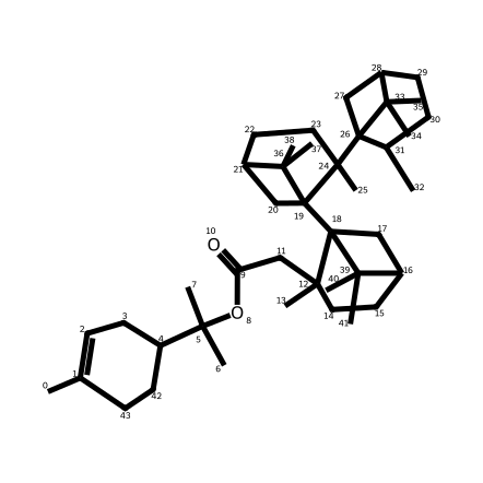 CC1=CCC(C(C)(C)OC(=O)CC2(C)CCC3CC2(C24CC(CCC2(C)C25CC(CCC2C)C5(C)C)C4(C)C)C3(C)C)CC1